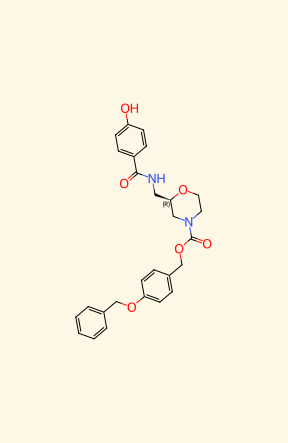 O=C(NC[C@@H]1CN(C(=O)OCc2ccc(OCc3ccccc3)cc2)CCO1)c1ccc(O)cc1